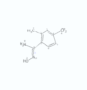 Cc1cc(C(F)(F)F)ccc1/C(N)=N/O